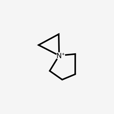 C1CC[N+]2(C1)CC2